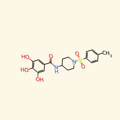 Cc1ccc(S(=O)(=O)N2CCC(NC(=O)c3cc(O)c(O)c(O)c3)CC2)cc1